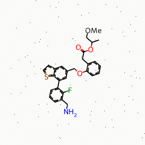 COCC(C)OC(=O)Cc1ccccc1OCc1cc(-c2cccc(CN)c2F)c2sccc2c1